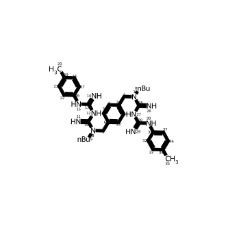 CCCCN(Cc1ccc(CN(CCCC)C(=N)NC(=N)Nc2ccc(C)cc2)cc1)C(=N)NC(=N)Nc1ccc(C)cc1